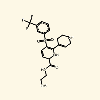 O=C(NCCO)C1C=CC(S(=O)(=O)c2cccc(C(F)(F)F)c2)=C(C2=CCNCC2)N1